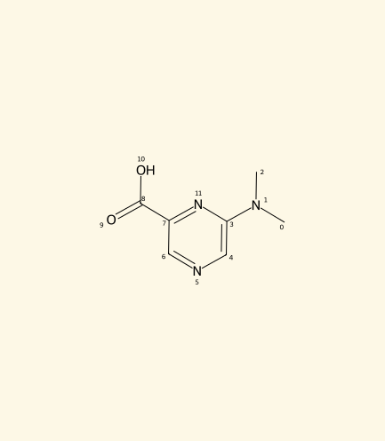 CN(C)c1cncc(C(=O)O)n1